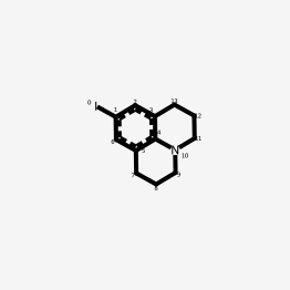 Ic1cc2c3c(c1)CCCN3CCC2